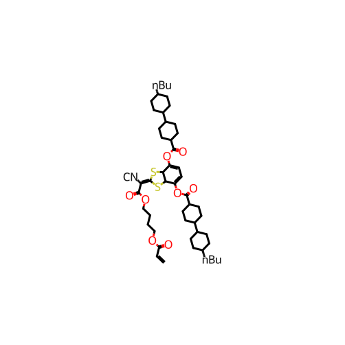 [C-]#[N+]C(C(=O)OCCCCOC(=O)C=C)=C1SC2C(OC(=O)C3CCC(C4CCC(CCCC)CC4)CC3)=CC=C(OC(=O)C3CCC(C4CCC(CCCC)CC4)CC3)C2S1